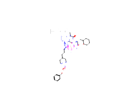 CCN(CC(=O)N(C(=O)[C@@H](N)CC(=O)O)[C@@H](CC1CCCCC1)C(N)=O)C(=O)CCCC1CCN(C(=O)OCc2ccccc2)CC1